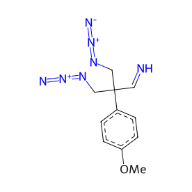 COc1ccc(C(C=N)(CN=[N+]=[N-])CN=[N+]=[N-])cc1